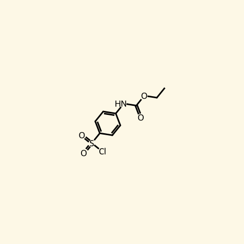 CCOC(=O)Nc1ccc(S(=O)(=O)Cl)cc1